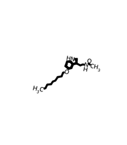 CCCCCCCCCOc1ccc2[nH]cc(CCNC(C)=O)c2c1